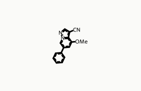 COc1cc(-c2ccccc2)cn2ncc(C#N)c12